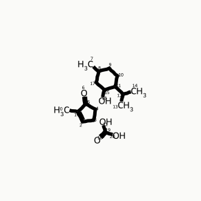 CC1=CCCC1=O.CC1CCC(C(C)C)C(O)C1.O=C(O)O